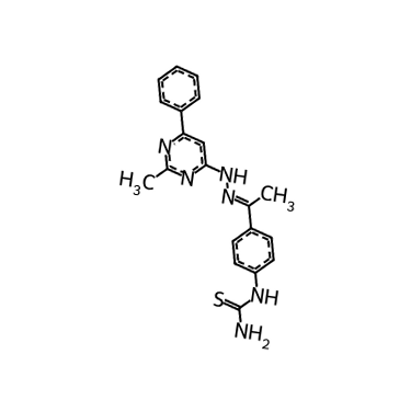 C/C(=N\Nc1cc(-c2ccccc2)nc(C)n1)c1ccc(NC(N)=S)cc1